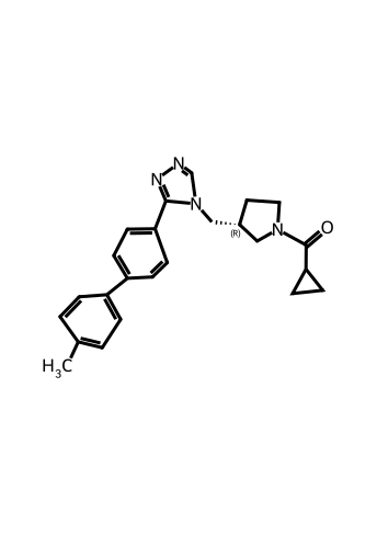 Cc1ccc(-c2ccc(-c3nncn3C[C@@H]3CCN(C(=O)C4CC4)C3)cc2)cc1